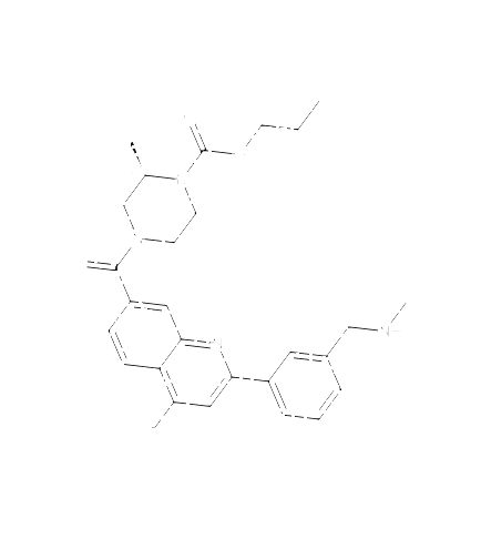 CCCOC(=O)N1CCN(C(=O)c2ccc3c(Cl)cc(-c4cccc(CNC)c4)nc3c2)C[C@H]1C